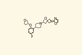 Fc1ccc(OC2CCOC2)c(C2CCN(C3COC4(C3)CN(c3ncco3)C4)CC2)c1